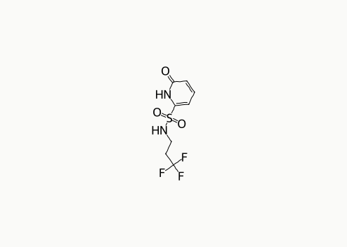 O=c1cccc(S(=O)(=O)NCCC(F)(F)F)[nH]1